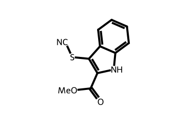 COC(=O)c1[nH]c2ccccc2c1SC#N